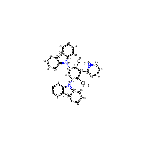 Cc1c(-n2c3ccccc3c3ccccc32)cc(-n2c3ccccc3c3ccccc32)c(C)c1-c1ccccn1